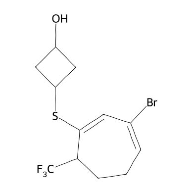 OC1CC(SC2=CC(Br)=CCCC2C(F)(F)F)C1